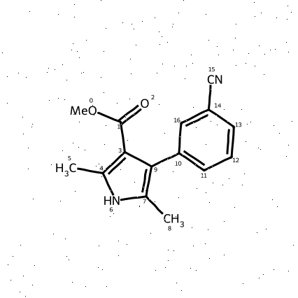 COC(=O)c1c(C)[nH]c(C)c1-c1cccc(C#N)c1